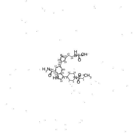 CCS(=O)(=O)N1CCC(c2c[nH]c3c(C(N)=O)cc(-c4csc(CCNC(=O)O)c4)cc23)CC1